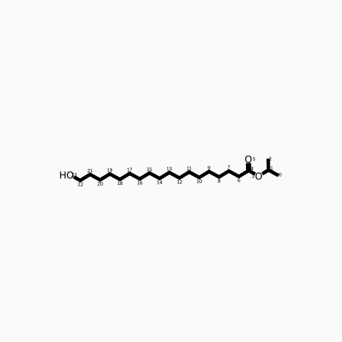 CC(C)OC(=O)CCCCCCCCCCCCCCCCCO